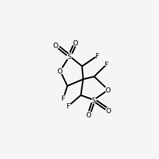 O=S1(=O)OC(F)C2(C(F)OS(=O)(=O)C2F)C1F